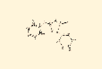 C[C@@H]1CN(Cc2ncccn2)C[C@H]1C1C[CH]OCC1